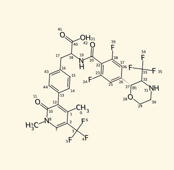 Cc1c(C(F)(F)F)cn(C)c(=O)c1-c1ccc(CC(NC(=O)c2c(F)cc([C@H]3OCCNC3C(F)(F)F)cc2F)C(=O)O)cc1